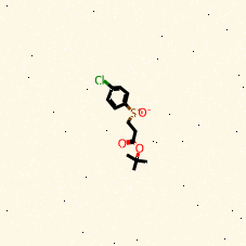 CC(C)(C)OC(=O)CC[S+]([O-])c1ccc(Cl)cc1